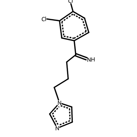 N=C(CCCn1ccnc1)c1ccc(Cl)c(Cl)c1